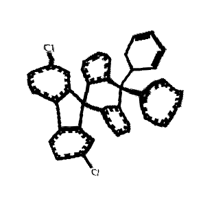 Clc1ccc2c(c1)C1(c3cc(Cl)ccc3-2)c2ccccc2C(c2ccccc2)(C2C=CC=CC2)c2ccccc21